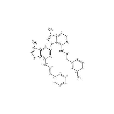 Cc1csc2c(NN=CC3=CN(C)CC=C3)ncnc12.Cc1csc2c(NN=Cc3cccnc3)ncnc12